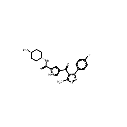 Cc1onc(-c2ccc(Br)cc2)c1C(=O)c1c[nH]c(C(=O)N[C@H]2CC[C@H](O)CC2)c1